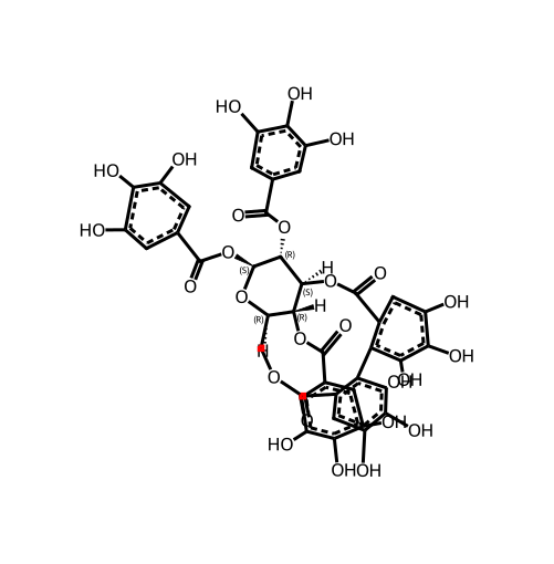 O=C(O[C@@H]1O[C@@H]2COC(=O)c3cc(O)c(O)c(O)c3-c3c(cc(O)c(O)c3O)C(=O)O[C@H]([C@H]1OC(=O)c1cc(O)c(O)c(O)c1)[C@@H]2OC(=O)c1cc(O)c(O)c(O)c1)c1cc(O)c(O)c(O)c1